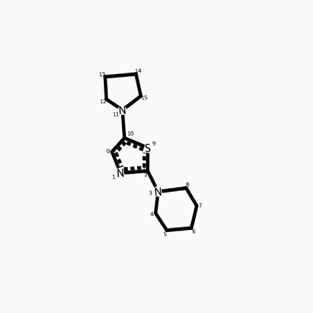 c1nc(N2CCCCC2)sc1N1CCCC1